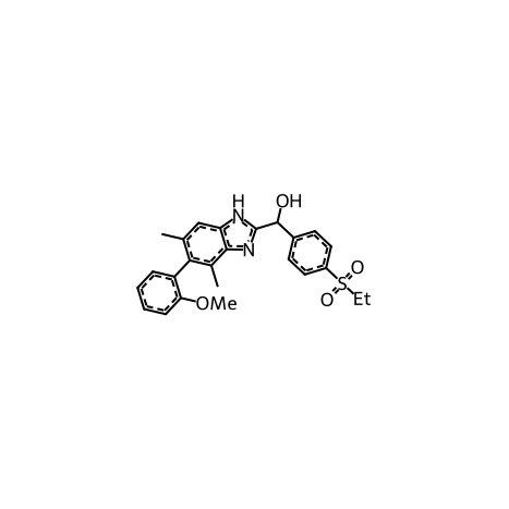 CCS(=O)(=O)c1ccc(C(O)c2nc3c(C)c(-c4ccccc4OC)c(C)cc3[nH]2)cc1